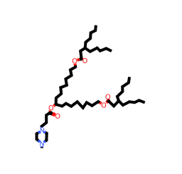 CCCCCC(CCCCC)CC(=O)OCCCCCCCCC(CCCCCCCCOC(=O)CC(CCCCC)CCCCC)OC(=O)CCCN1CCN(C)CC1